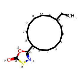 CCC1CCCCCCC(c2nsc(=O)o2)CCCCCC1